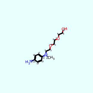 CN(CCOCCOCCO)c1ccc(N)cc1